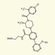 CCOc1ncccc1-c1ccc(N2CCN(C(=O)c3ccc(Cl)cc3C(F)(F)F)[C@H](C)C2)c(C(=O)NCCNC)c1